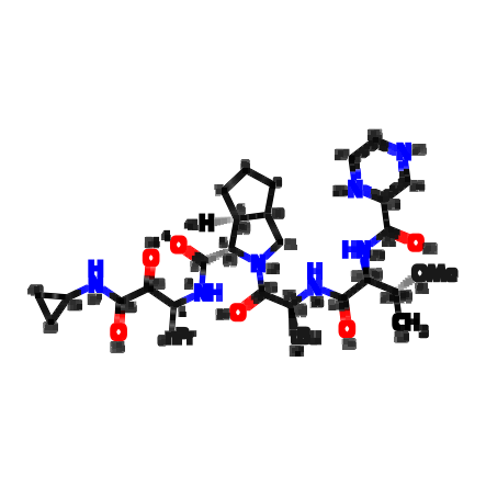 CCCC(NC(=O)[C@@H]1[C@H]2CCCC2CN1C(=O)[C@@H](NC(=O)[C@@H](NC(=O)c1cnccn1)[C@@H](C)OC)C(C)(C)C)C(=O)C(=O)NC1CC1